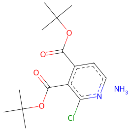 CC(C)(C)OC(=O)c1ccnc(Cl)c1C(=O)OC(C)(C)C.N